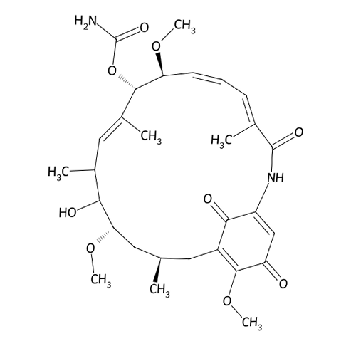 COC1=C2C[C@@H](C)C[C@H](OC)C(O)C(C)/C=C(\C)[C@H](OC(N)=O)[C@@H](OC)/C=C\C=C(/C)C(=O)NC(=CC1=O)C2=O